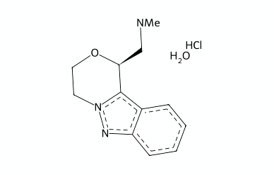 CNC[C@@H]1OCCn2nc3ccccc3c21.Cl.O